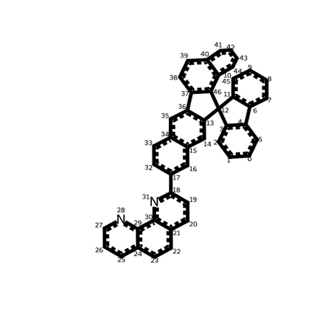 c1ccc2c(c1)-c1ccccc1C21c2cc3cc(-c4ccc5ccc6cccnc6c5n4)ccc3cc2-c2ccc3ccccc3c21